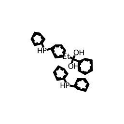 CCC(O)(O)c1ccccc1.c1ccc(Pc2ccccc2)cc1.c1ccc(Pc2ccccc2)cc1